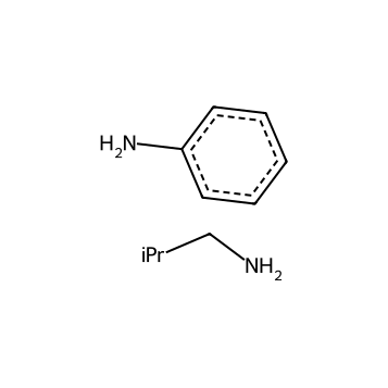 CC(C)CN.Nc1ccccc1